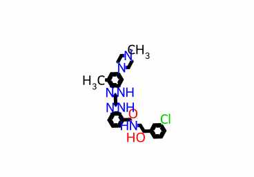 Cc1cc(N2CCN(C)CC2)cc2[nH]c(-c3nc4cccc(C(=O)NC[C@@H](O)c5cccc(Cl)c5)c4[nH]3)nc12